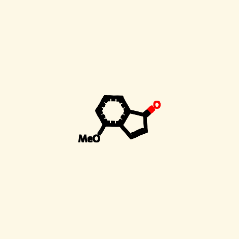 COc1cccc2c1C=CC2=O